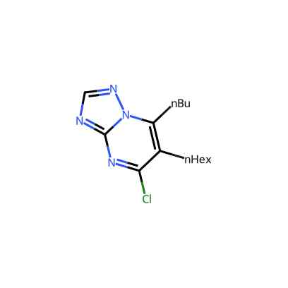 CCCCCCc1c(Cl)nc2ncnn2c1CCCC